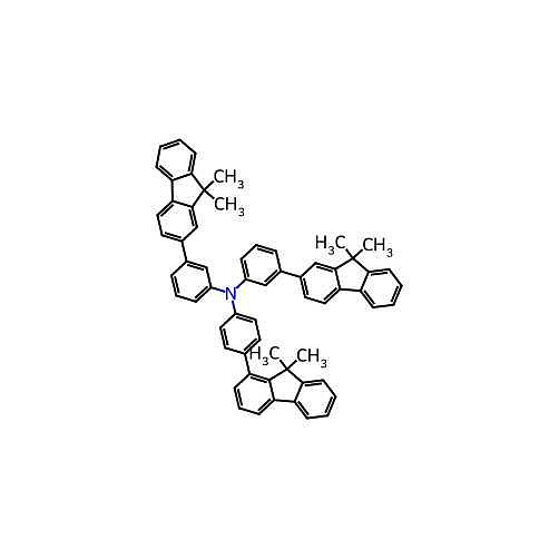 CC1(C)c2ccccc2-c2ccc(-c3cccc(N(c4ccc(-c5cccc6c5C(C)(C)c5ccccc5-6)cc4)c4cccc(-c5ccc6c(c5)C(C)(C)c5ccccc5-6)c4)c3)cc21